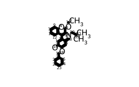 CCOC(=O)c1c(-c2ccccc2)c2cc(=O)c(OCc3ccccc3)cc-2cn1CC(C)C